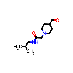 CC(C)CNC(=O)CN1CCC(C=O)CC1